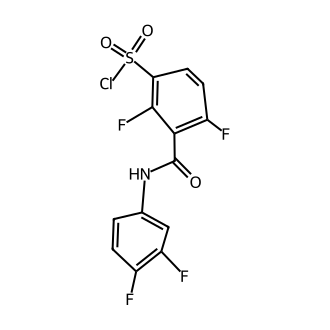 O=C(Nc1ccc(F)c(F)c1)c1c(F)ccc(S(=O)(=O)Cl)c1F